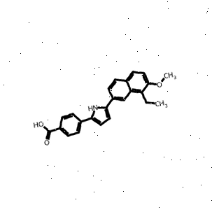 CCc1c(OC)ccc2ccc(-c3ccc(-c4ccc(C(=O)O)cc4)[nH]3)cc12